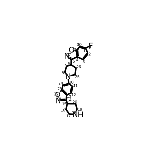 Fc1ccc2c(C3CCN(c4ccc5c(C6CCNCC6)noc5c4)CC3)noc2c1